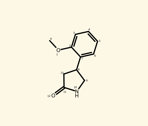 COc1ccccc1C1CNC(=O)C1